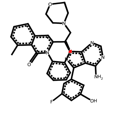 Cc1cccc2cc(Cn3nc(-c4cc(O)cc(F)c4)c4c(N)ncnc43)n(-c3ccccc3OCCN3CCOCC3)c(=O)c12